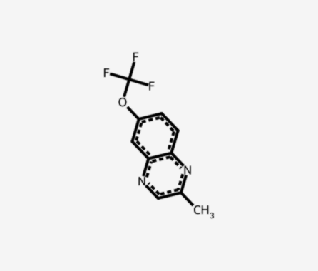 Cc1cnc2cc(OC(F)(F)F)ccc2n1